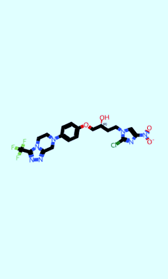 O=[N+]([O-])c1cn(CC[C@@H](O)COc2ccc(N3CCn4c(nnc4C(F)(F)F)C3)cc2)c(Cl)n1